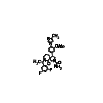 COc1cc(C2CN(C(N)=O)CC23CCCN([C@@H](C)c2cc(F)cc(F)c2)C3=O)ccc1-n1cnc(C)c1